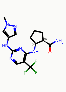 Cn1cc(Nc2ncc(C(F)(F)F)c(N[C@H]3CCC[C@H]3C(N)=O)n2)cn1